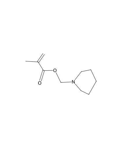 C=C(C)C(=O)OCN1CCCCC1